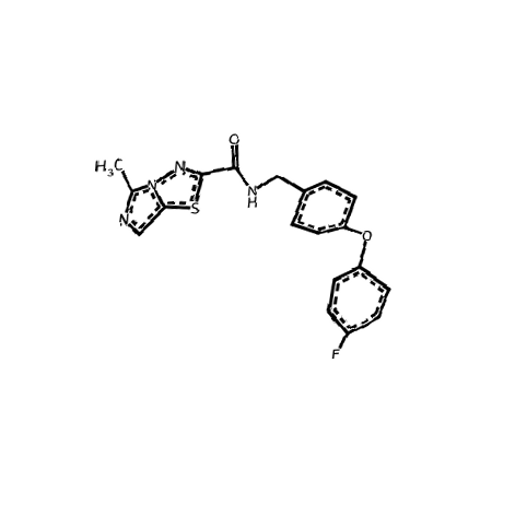 Cc1ncc2sc(C(=O)NCc3ccc(Oc4ccc(F)cc4)cc3)nn12